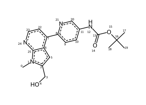 Cn1c(CO)cc2c(-c3ccc(NC(=O)OC(C)(C)C)cn3)ccnc21